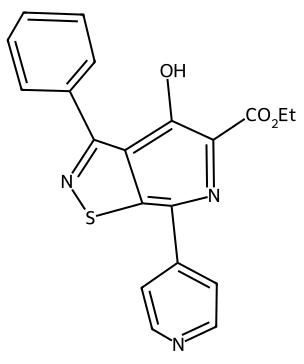 CCOC(=O)c1nc(-c2ccncc2)c2snc(-c3ccccc3)c2c1O